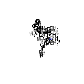 CCC(C)C(C(CC(=O)N1CCC[C@H]1[C@H](OC)[C@@H](C)C(=O)N[C@@H](Cc1ccccc1)P(=O)(O)O)OC)N(C)C(=O)[C@@H](/N=C(/N(C)C)N1CCN(C(=O)CCCN=[N+]=[N-])CC1)C(C)C